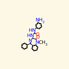 CN1C(=O)C(NC(=O)Nc2cccc(N)c2)N=C(c2ccccc2)c2ccccc21